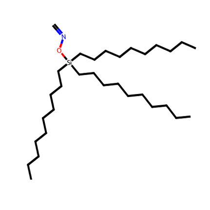 C=NO[Si](CCCCCCCCCC)(CCCCCCCCCC)CCCCCCCCCC